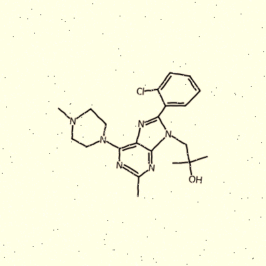 Cc1nc(N2CCN(C)CC2)c2nc(-c3ccccc3Cl)n(CC(C)(C)O)c2n1